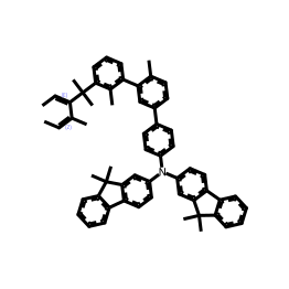 C/C=C(C)\C(=C/C)C(C)(C)c1cccc(-c2cc(-c3ccc(N(c4ccc5c(c4)C(C)(C)c4ccccc4-5)c4ccc5c(c4)C(C)(C)c4ccccc4-5)cc3)ccc2C)c1C